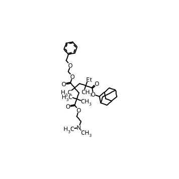 CCC(C)(CC(C)(CC(C)(C)C(=O)OCCN(C)C)C(=O)OCOCc1ccccc1)C(=O)OC1C2CC3CC(C2)CC1C3